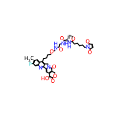 Cc1cc2c(CCCCOCNC(=O)CNC(=O)[C@@H](NC(=O)CCCCCN3C(=O)C=CC3=O)C(C)C)c3c(nc2cc1F)-c1cc2c(c(=O)n1C3)COC(=O)[C@H]2O